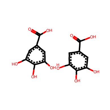 O=C(O)c1cc(O)c(O)c(O)c1.O=C(O)c1cc(O)c(O)c(O)c1